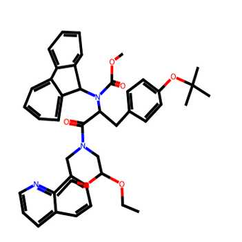 CCOC(CN(Cc1cccc2cccnc12)C(=O)C(Cc1ccc(OC(C)(C)C)cc1)N(C(=O)OC)C1c2ccccc2-c2ccccc21)OCC